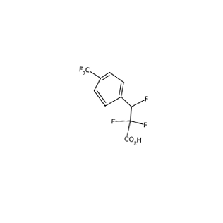 O=C(O)C(F)(F)C(F)c1ccc(C(F)(F)F)cc1